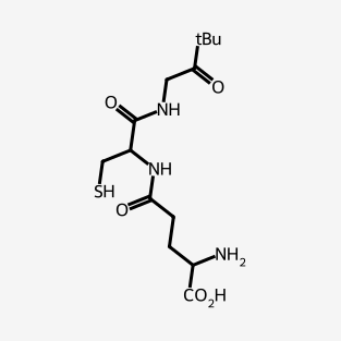 CC(C)(C)C(=O)CNC(=O)C(CS)NC(=O)CCC(N)C(=O)O